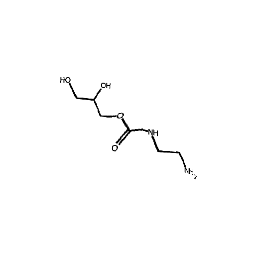 NCCNC(=O)OCC(O)CO